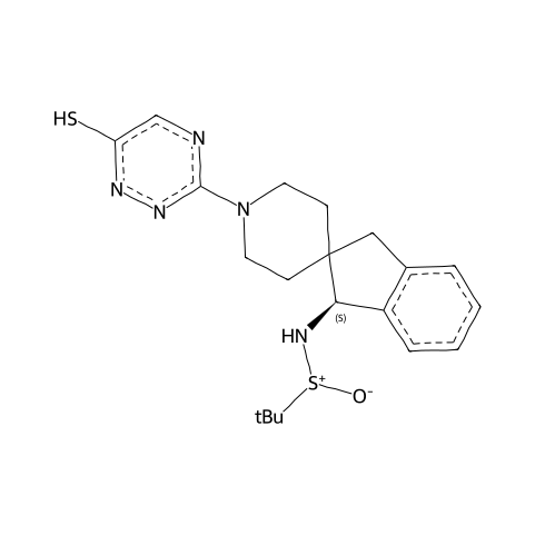 CC(C)(C)[S+]([O-])N[C@@H]1c2ccccc2CC12CCN(c1ncc(S)nn1)CC2